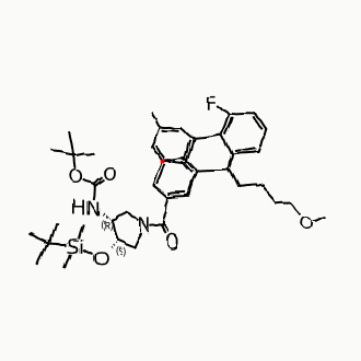 COCCCCC(c1cccc(C(=O)N2C[C@H](O[Si](C)(C)C(C)(C)C)[C@H](NC(=O)OC(C)(C)C)C2)c1)c1cccc(F)c1-c1cccc(C)c1